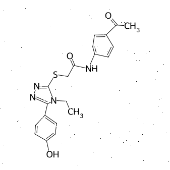 CCn1c(SCC(=O)Nc2ccc(C(C)=O)cc2)nnc1-c1ccc(O)cc1